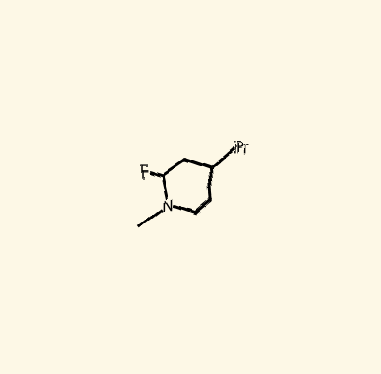 CC(C)C1CCN(C)C(F)C1